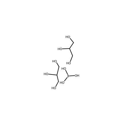 OB(O)O.OCC(O)CO.OCC(O)CO